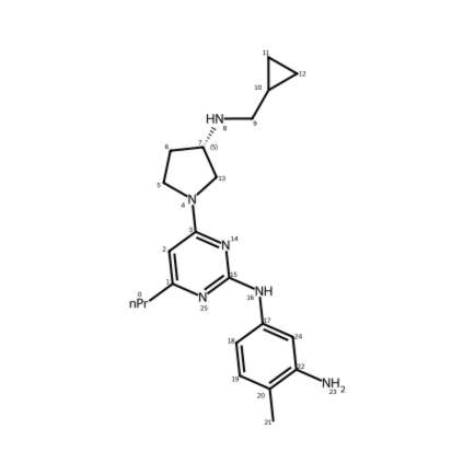 CCCc1cc(N2CC[C@H](NCC3CC3)C2)nc(Nc2ccc(C)c(N)c2)n1